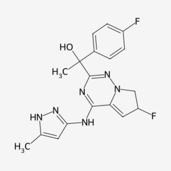 Cc1cc(NC2=NC(C(C)(O)c3ccc(F)cc3)=NN3CC(F)C=C23)n[nH]1